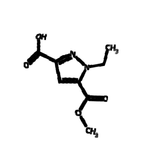 CCn1nc(C(=O)O)cc1C(=O)OC